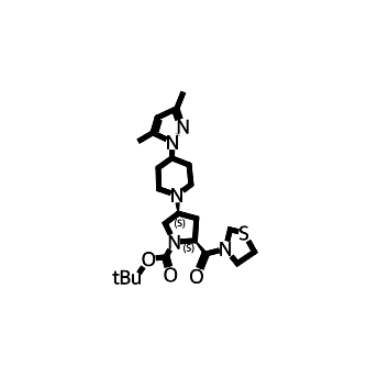 Cc1cc(C)n(C2CCN([C@H]3C[C@@H](C(=O)N4CCSC4)N(C(=O)OC(C)(C)C)C3)CC2)n1